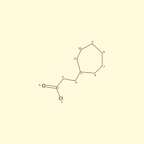 O=C(Cl)CCC1CCCCCC1